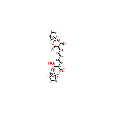 O=C1OC2(CC3CCC2C3)OC(=O)C1=CC=CC=CC1C(=O)OC2(CC3CCC2C3)OC1O